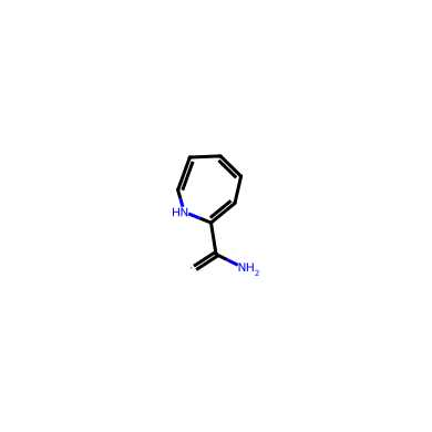 [CH]=C(N)C1=CC=CC=CN1